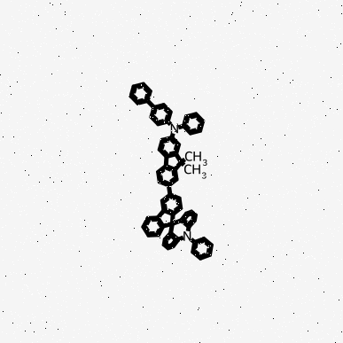 CC1(C)c2cc(-c3ccc4c(c3)-c3ccccc3C43c4ccccc4N(c4ccccc4)c4ccccc43)ccc2-c2ccc(N(c3ccccc3)c3ccc(-c4ccccc4)cc3)cc21